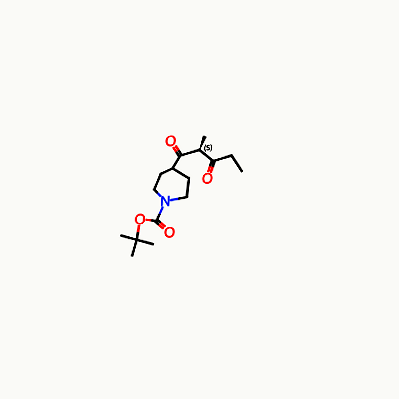 CCC(=O)[C@H](C)C(=O)C1CCN(C(=O)OC(C)(C)C)CC1